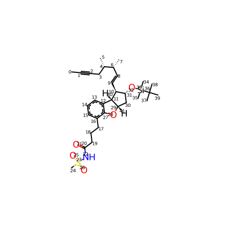 CC#CC[C@H](C)[C@H](C)/C=C/[C@@H]1[C@H]2c3cccc(CCCC(=O)NS(C)(=O)=O)c3O[C@H]2C[C@H]1O[Si](C)(C)C(C)(C)C